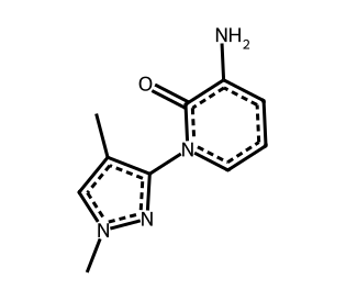 Cc1cn(C)nc1-n1cccc(N)c1=O